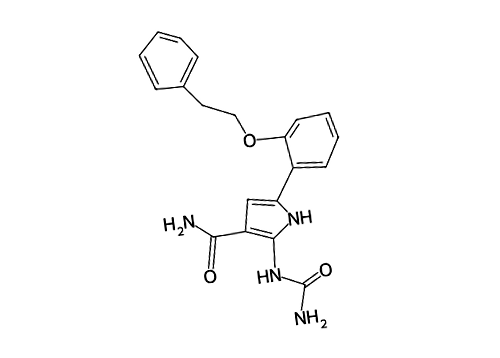 NC(=O)Nc1[nH]c(-c2ccccc2OCCc2ccccc2)cc1C(N)=O